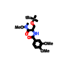 COc1ccc(C(=O)NC(CO[Si](C)(C)C(C)(C)C)C(=O)N(C)OC)cc1OC